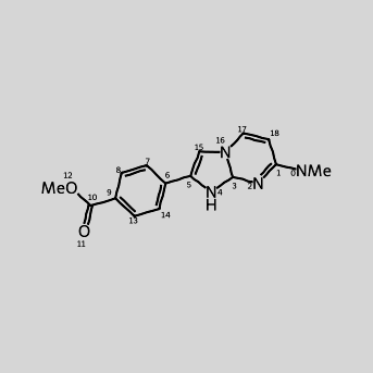 CNC1=NC2NC(c3ccc(C(=O)OC)cc3)=CN2C=C1